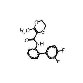 CC1=C(C(=O)Nc2ccccc2-c2ccc(F)c(F)c2)SCCO1